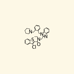 CCN(Cc1nc2ccccc2n1Cc1ccccc1CN1CCCCC1)C(=O)c1sc2ccccc2c1Cl